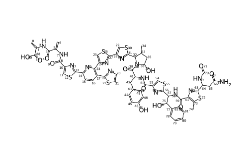 C=C(NC(=O)C(=C)NC(=O)c1csc(-c2ccc(-c3nccs3)c(-c3csc(-c4csc(C5C(C)CC(O)N5C(=O)C(Cc5ccc(O)cc5)NC(=O)c5csc(C(NC(=O)c6nc(C(CC(N)=O)NC=O)sc6C)C(O)c6ccccc6)n5)n4)n3)n2)n1)C(=O)O